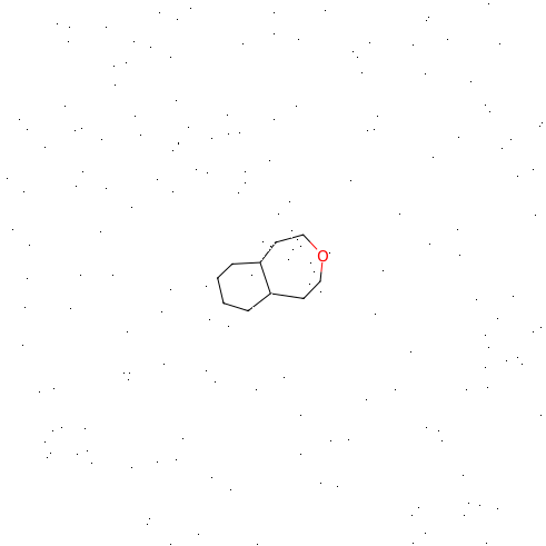 C1CCC2CCOCCC2C1